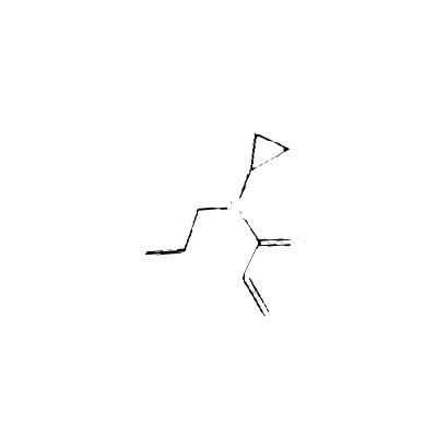 C=CC(=O)N(CCC)C1CC1